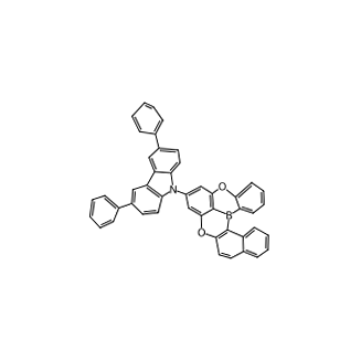 c1ccc(-c2ccc3c(c2)c2cc(-c4ccccc4)ccc2n3-c2cc3c4c(c2)Oc2ccc5ccccc5c2B4c2ccccc2O3)cc1